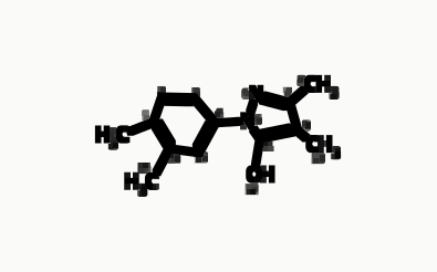 Cc1ccc(-n2nc(C)c(C)c2O)cc1C